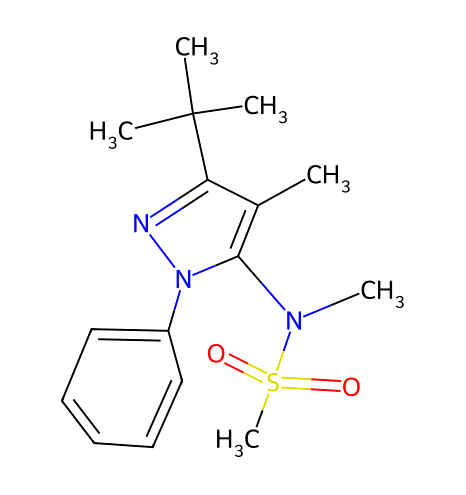 Cc1c(C(C)(C)C)nn(-c2ccccc2)c1N(C)S(C)(=O)=O